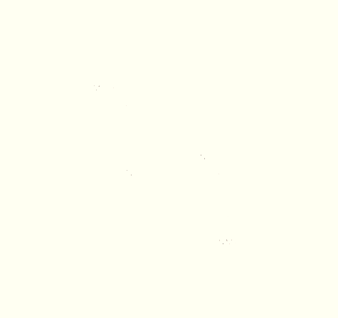 CNC(=O)c1cc(C(=O)NC2CC2)cn(Cc2cccc(C(=O)OC)c2)c1=O